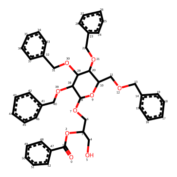 O=C(OC(CO)COC1OC(COCc2ccccc2)C(OCc2ccccc2)C(OCc2ccccc2)C1OCc1ccccc1)c1ccccc1